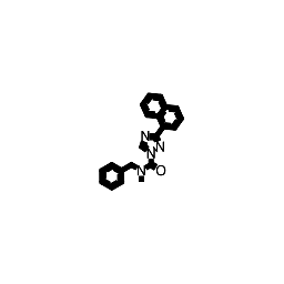 CN(Cc1ccccc1)C(=O)n1cnc(-c2cccc3ccccc23)n1